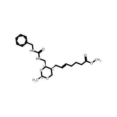 COC(=O)CCCC=CC[C@H]1CO[C@@H](C)O[C@H]1CNC(=O)NCc1ccccc1